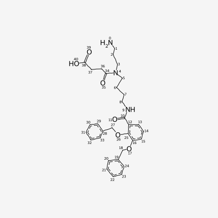 NCCCN(CCCCNC(=O)c1cccc(OCc2ccccc2)c1OCc1ccccc1)C(=O)CCC(=O)O